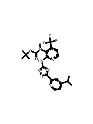 CC(C)c1ccnc(-c2nsc(Nc3nccc(C(F)(F)F)c3N(C)C(=O)OC(C)(C)C)n2)c1